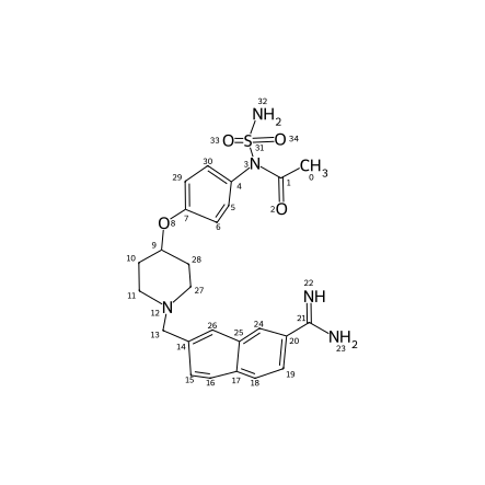 CC(=O)N(c1ccc(OC2CCN(Cc3ccc4ccc(C(=N)N)cc4c3)CC2)cc1)S(N)(=O)=O